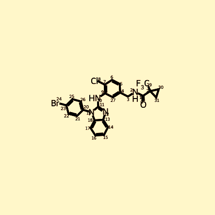 O=C(NCc1ccc(Cl)c(Nc2nc3ccccc3n2-c2ccc(Br)cc2)c1)C1(C(F)(F)F)CC1